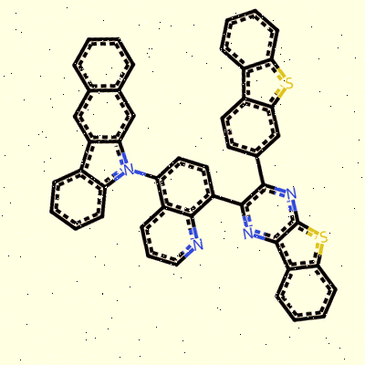 c1ccc2cc3c(cc2c1)c1ccccc1n3-c1ccc(-c2nc3c(nc2-c2ccc4c(c2)sc2ccccc24)sc2ccccc23)c2ncccc12